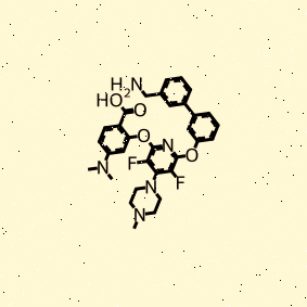 CN1CCN(c2c(F)c(Oc3cccc(-c4cccc(CN)c4)c3)nc(Oc3cc(N(C)C)ccc3C(=O)O)c2F)CC1